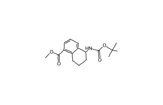 COC(=O)c1cccc2c1CCCC2NC(=O)OC(C)(C)C